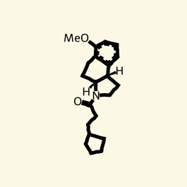 COc1cccc2c1CC[C@@H]1[C@H]2CCN1C(=O)CCC1CCCC1